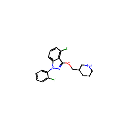 Fc1ccccc1-n1nc(OCC2CCCNC2)c2c(F)cccc21